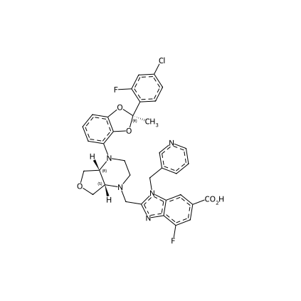 C[C@@]1(c2ccc(Cl)cc2F)Oc2cccc(N3CCN(Cc4nc5c(F)cc(C(=O)O)cc5n4Cc4cccnc4)[C@@H]4COC[C@@H]43)c2O1